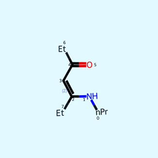 CCCN/C(=C\C(=O)CC)CC